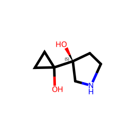 OC1([C@]2(O)CCNC2)CC1